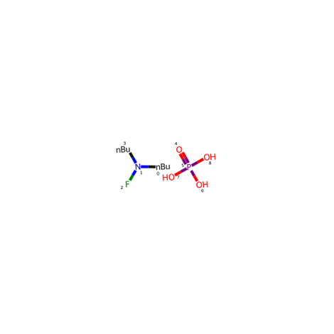 CCCCN(F)CCCC.O=P(O)(O)O